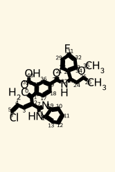 C=C(/C(=C\C=C/Cl)c1nc2ccccc2[nH]1)c1ccc(C(=O)NC(CCC)c2ccc(F)cc2OC)cc1C(=O)O